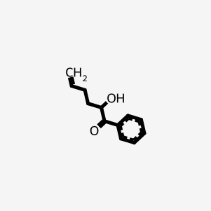 C=CCCC(O)C(=O)c1ccccc1